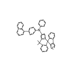 CC1(C)c2ccccc2C2(c3ccccc3-c3ccccc32)c2ccc(N(c3ccccc3)c3ccc(-c4cccc5ccccc45)cc3)cc21